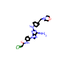 Nc1nc(Nc2ccc(CN3CCOCC3)cc2)nc2c1ncn2-c1cccc(NC(=O)CCl)c1